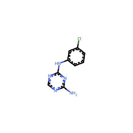 Nc1ncnc(Nc2cccc(Cl)c2)n1